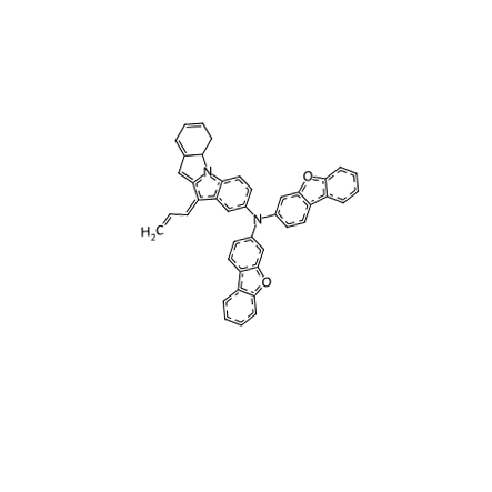 C=C/C=c1\c2n(c3ccc(N(c4ccc5c(c4)oc4ccccc45)c4ccc5c(c4)oc4ccccc45)cc13)C1CC=CC=C1C=2